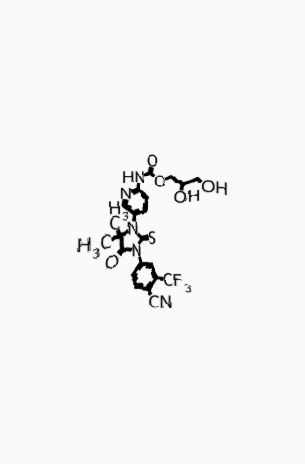 CC1(C)C(=O)N(c2ccc(C#N)c(C(F)(F)F)c2)C(=S)N1c1ccc(NC(=O)OCC(O)CO)nc1